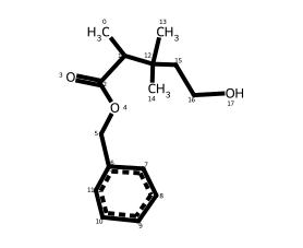 CC(C(=O)OCc1ccccc1)C(C)(C)CCO